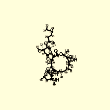 CC[C@H]1OC(=O)[C@H](C)[C@@H](O[C@H]2C[C@@](C)(OC)C(OC(=O)CCN(C)CC)[C@H](C)O2)[C@H](C)[C@@H](O[C@@H]2O[C@H](C)C[C@H](NC)[C@H]2O)[C@](C)(O)C[C@@H](C)CN(C)[C@H](C)[C@@H](O)[C@]1(C)O